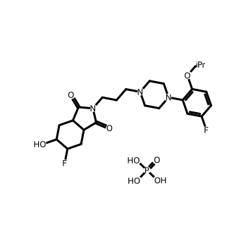 CC(C)Oc1ccc(F)cc1N1CCN(CCCN2C(=O)C3CC(O)C(F)CC3C2=O)CC1.O=P(O)(O)O